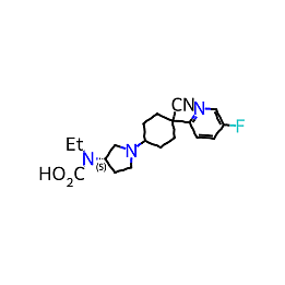 CCN(C(=O)O)[C@H]1CCN(C2CCC(C#N)(c3ccc(F)cn3)CC2)C1